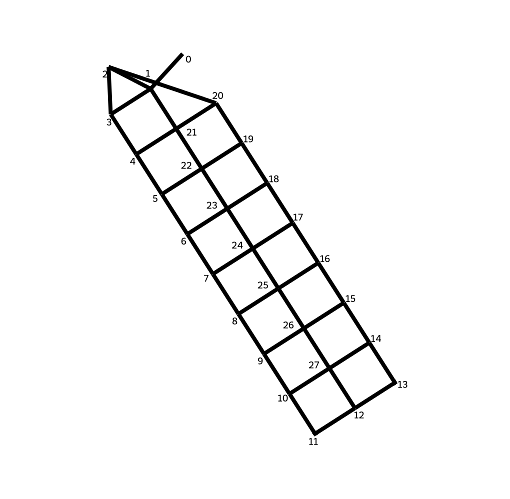 CC12C3C1C1C4C5C6C7C8C9CC%10CC%11C%12C%13C%14C%15C%16C3C12C%164C%155C%146C%137C%128C%10%119